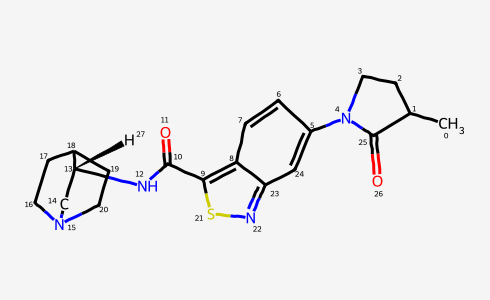 CC1CCN(c2ccc3c(C(=O)N[C@@H]4CN5CCC4CC5)snc3c2)C1=O